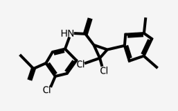 C=C(C)c1cc(NC(=C)C2C(c3cc(C)cc(C)c3)C2(Cl)Cl)ccc1Cl